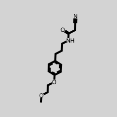 COCCOc1ccc(CCCNC(=O)CC#N)cc1